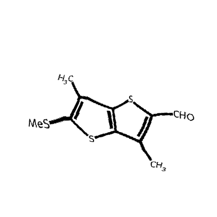 CSc1sc2c(C)c(C=O)sc2c1C